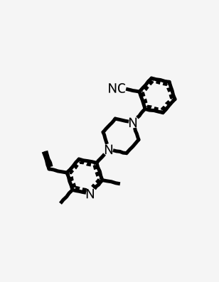 C=Cc1cc(N2CCN(c3ccccc3C#N)CC2)c(C)nc1C